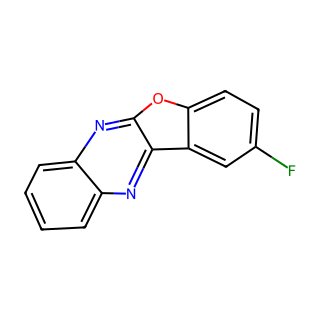 Fc1ccc2oc3nc4ccccc4nc3c2c1